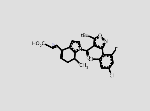 CC1CC=C(/C=C/C(=O)O)c2ccn(C(=O)c3c(-c4c(F)cc(Cl)cc4Cl)noc3C(C)(C)C)c21